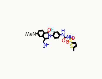 CNc1ccc2c(=O)n(-c3ccc(NC(=O)NS(=O)(=O)c4ccc(C)s4)cc3F)cc(CN(C)C)c2c1